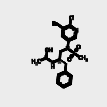 CB(O)N[C@@H](Cc1ccccc1)CN(c1cnc(Cl)c(Br)c1)S(C)(=O)=O